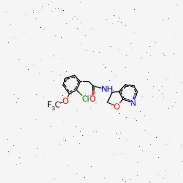 O=C(Cc1cccc(OC(F)(F)F)c1Cl)NC1COc2ncccc21